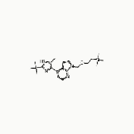 Cc1[nH]c(C(C)(C)C)nc1-c1ccnc2c1ccn2COCC[Si](C)(C)C